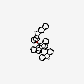 c1ccc(-c2c3ccccc3c(-c3cccc4sc5cccc(-c6c7ccccc7c(-c7ccc8oc9cc%10ccccc%10cc9c8c7)c7ccccc67)c5c34)c3ccccc23)cc1